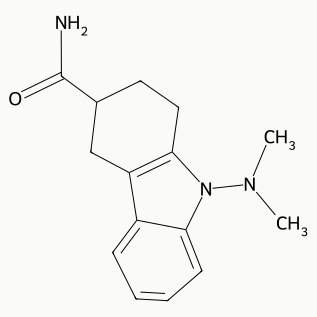 CN(C)n1c2c(c3ccccc31)CC(C(N)=O)CC2